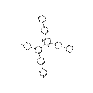 Cc1ccc(-c2cc(-c3ccc(-c4ccncc4)cc3)cc(-c3nc(-c4ccc(-c5ccccc5)cc4)nc(-c4ccc(-c5ccccc5)cc4)n3)c2)cc1